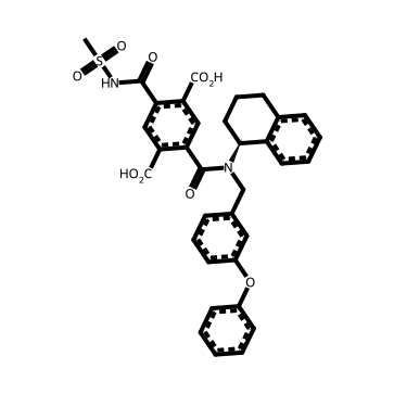 CS(=O)(=O)NC(=O)c1cc(C(=O)O)c(C(=O)N(Cc2cccc(Oc3ccccc3)c2)[C@H]2CCCc3ccccc32)cc1C(=O)O